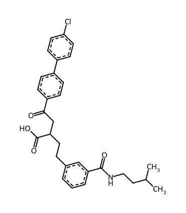 CC(C)CCNC(=O)c1cccc(CCC(CC(=O)c2ccc(-c3ccc(Cl)cc3)cc2)C(=O)O)c1